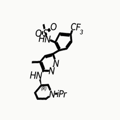 Cc1cc(-c2ccc(C(F)(F)F)cc2NS(C)(=O)=O)nnc1N[C@@H]1CCCN(C(C)C)C1